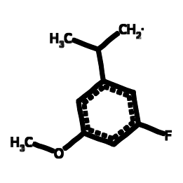 [CH2]C(C)c1cc(F)cc(OC)c1